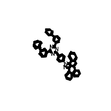 c1ccc(-c2cccc(-c3nc(-c4ccc(-n5nc(-c6ccccc6)c6c(-c7ccccc7)cc7ccccc7c65)cc4)nc(-c4cccc(-c5ccccc5)c4)n3)c2)cc1